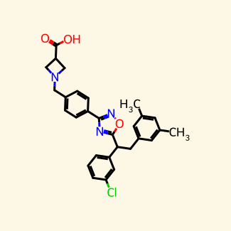 Cc1cc(C)cc(CC(c2cccc(Cl)c2)c2nc(-c3ccc(CN4CC(C(=O)O)C4)cc3)no2)c1